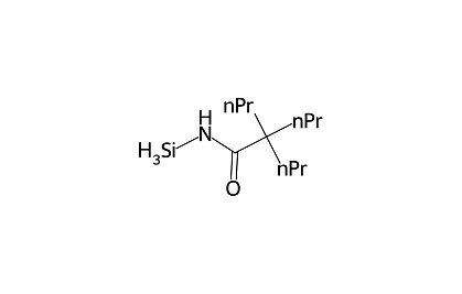 CCCC(CCC)(CCC)C(=O)N[SiH3]